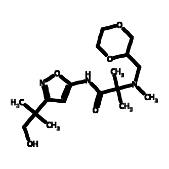 CN(CC1COCCO1)C(C)(C)C(=O)Nc1cc(C(C)(C)CO)no1